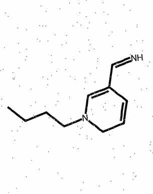 CCCCN1C=C(C=N)C=CC1